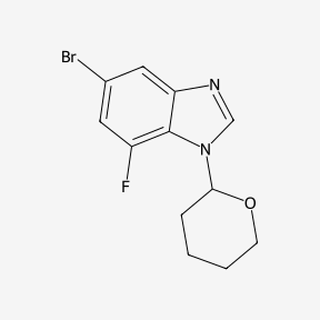 Fc1cc(Br)cc2ncn(C3CCCCO3)c12